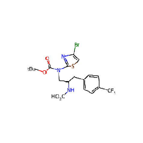 CC(C)(C)OC(=O)N(CC(Cc1ccc(C(F)(F)F)cc1)NC(=O)O)c1nc(Br)cs1